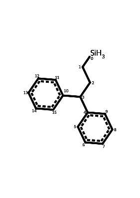 [SiH3]CCC(c1ccccc1)c1ccccc1